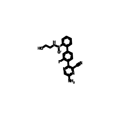 N#Cc1nc(N)cnc1-c1ccc(-c2ccccc2[S+]([O-])NCCO)cc1F